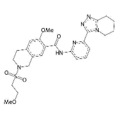 COCCS(=O)(=O)N1CCc2cc(OC)c(C(=O)Nc3cccc(-c4nnc5n4CCCC5)n3)cc2C1